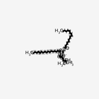 CCCC/C=C\C/C=C\CCCCCCCC(=O)OC[C@H](COP(=O)([O-])OCC[N+](C)(C)C)OC(=O)CCCCCCCCCCCCCCCCC